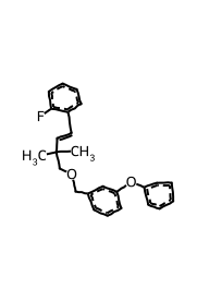 CC(C)(C=Cc1ccccc1F)COCc1cccc(Oc2ccccc2)c1